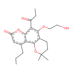 CCCc1cc(=O)oc2c(C(=O)CC)c(OCCO)c3c(c12)OC(C)(C)CC3